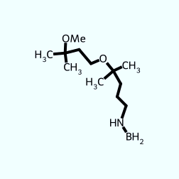 BNCCCC(C)(C)OCCC(C)(C)OC